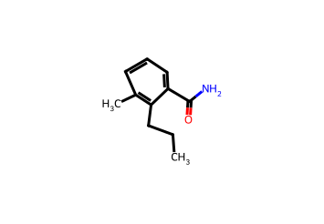 CCCc1c(C)cccc1C(N)=O